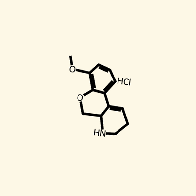 COc1cccc2c1OCC1NCCC=C21.Cl